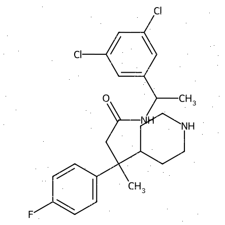 CC(NC(=O)CC(C)(c1ccc(F)cc1)C1CCNCC1)c1cc(Cl)cc(Cl)c1